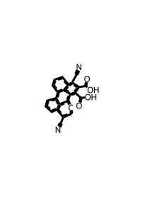 N#Cc1ccc2c3c(C(=O)O)c(C(=O)O)c(C#N)c4cccc(c5cccc1c52)c43